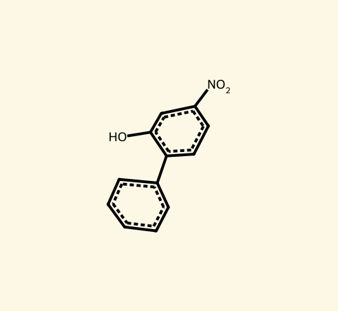 O=[N+]([O-])c1ccc(-c2ccccc2)c(O)c1